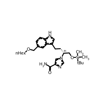 CCCCCCOCc1ccc2[nH]cc(CC[C@H](CO[Si](C)(C)C(C)(C)C)n3cnc(C(N)=O)c3)c2c1